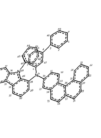 c1ccc(-c2cccc(N(c3ccc4c(ccc5ccc6ccccc6c54)c3)c3cccc4c5ccccc5n(-c5ccccc5)c34)c2)cc1